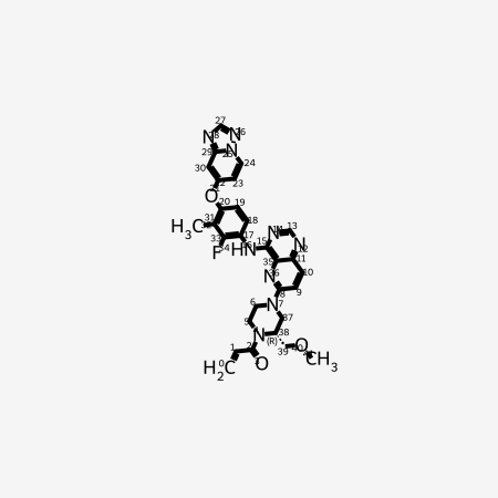 C=CC(=O)N1CCN(c2ccc3ncnc(Nc4ccc(Oc5ccn6ncnc6c5)c(C)c4F)c3n2)C[C@@H]1COC